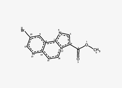 COC(=O)c1cnc2c3cc(Br)cnc3ccn12